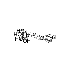 O[C@H]1[C@H](O)[C@@H](O)CN(CCCCCCOCc2ccc(Cl)cc2)C[C@@H]1O